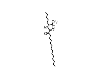 CCCCCCCCCCCCCC(=O)C(=O)NC(CCCCC)C(=O)O